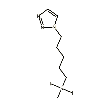 IS(I)(I)CCCCCn1ccnn1